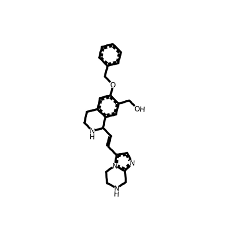 OCc1cc2c(cc1OCc1ccccc1)CCNC2/C=C/c1cnc2n1CCNC2